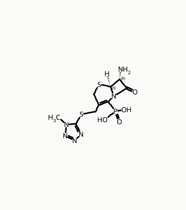 Cn1nnnc1SCC1=C(P(=O)(O)O)N2C(=O)[C@@H](N)[C@@H]2SC1